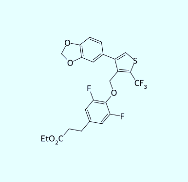 CCOC(=O)CCc1cc(F)c(OCc2c(-c3ccc4c(c3)OCO4)csc2C(F)(F)F)c(F)c1